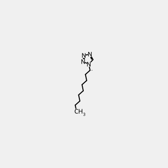 CCCCCCCC[CH]n1cnnn1